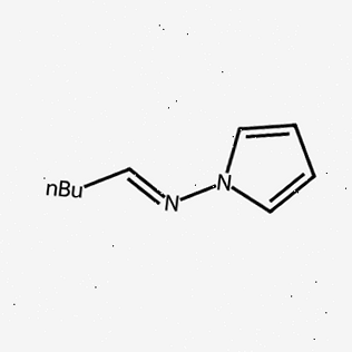 CCCC/C=N/n1cccc1